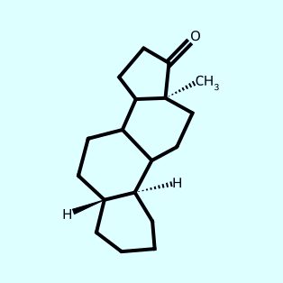 C[C@]12CCC3C(CC[C@H]4CCCC[C@H]34)C1CCC2=O